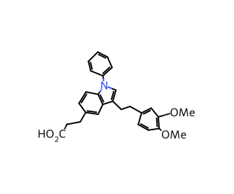 COc1ccc(CCc2cn(-c3ccccc3)c3ccc(CCC(=O)O)cc23)cc1OC